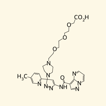 Cc1ccc(C2(N3CCN(CCOCCOCCOCC(=O)O)CC3)C=C(NC(=O)c3cnn4cccnc34)N=N2)nc1